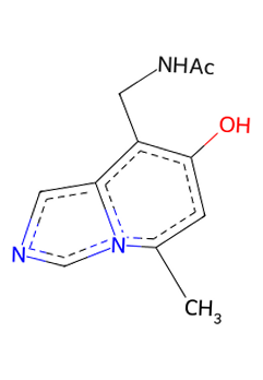 CC(=O)NCc1c(O)cc(C)n2cncc12